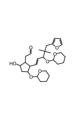 CC(C)(Cc1ccco1)C(C=CC1C(OC2CCCCO2)CC(O)C1CC=O)OC1CCCCO1